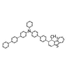 CC1c2c(sc3ccccc23)C=CC1c1ccc(-c2ccc(N(c3ccccc3)c3ccc(-c4ccc(-c5ccccc5)cc4)cc3)cc2)cc1